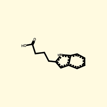 O=C(O)CCCc1cc2c[c]ccc2[nH]1